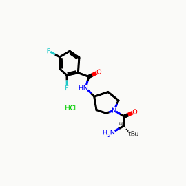 CC(C)(C)[C@H](N)C(=O)N1CCC(NC(=O)c2ccc(F)cc2F)CC1.Cl